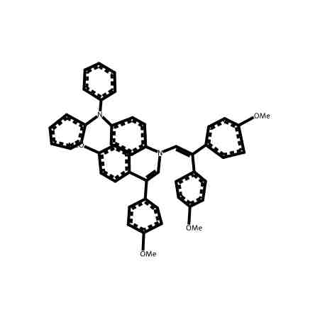 COc1ccc(C(=CN(C=C(c2ccc(OC)cc2)c2ccc(OC)cc2)c2ccc(N(c3ccccc3)c3ccccc3)cc2)c2ccc(OC)cc2)cc1